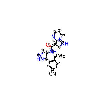 COc1ccc(C#N)cc1-c1[nH]ncc1NC(=O)C1=C2N=CC=CN2NC1